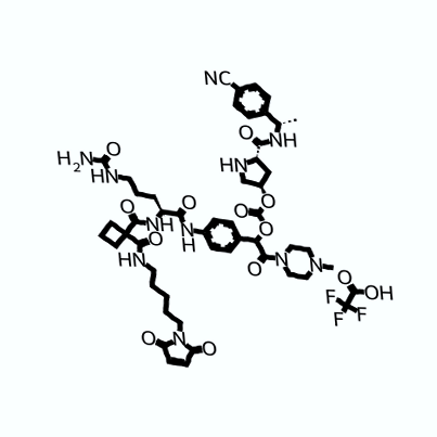 C[C@H](NC(=O)[C@@H]1C[C@@H](OC(=O)OC(C(=O)N2CCN(C)CC2)c2ccc(NC(=O)[C@H](CCCNC(N)=O)NC(=O)C3(C(=O)NCCCCCN4C(=O)C=CC4=O)CCC3)cc2)CN1)c1ccc(C#N)cc1.O=C(O)C(F)(F)F